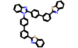 c1cc(-c2ccc(-c3nc4ccccc4n3-c3ccc(-c4cccc(-c5nc6ccccc6s5)c4)cc3)cc2)cc(-c2nc3ccccc3s2)c1